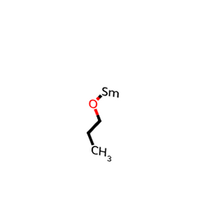 CCC[O][Sm]